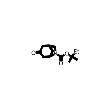 CCC(C)(C)OC(=O)N1CC2CC(=O)CC1C2